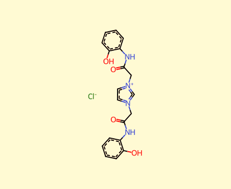 O=C(Cn1cc[n+](CC(=O)Nc2ccccc2O)c1)Nc1ccccc1O.[Cl-]